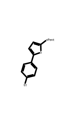 CCCCCc1ccc(-c2ccc(CC)cc2)s1